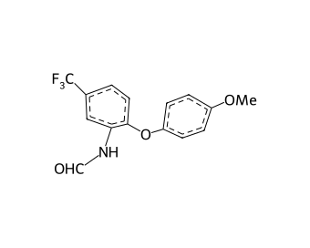 COc1ccc(Oc2ccc(C(F)(F)F)cc2NC=O)cc1